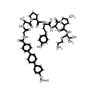 CCCCCOc1ccc(-c2ccc(-c3ccc(C(=O)NCC(=O)NC(CC)C(=O)N4CCCC4C(=O)NC(CCc4ccc(O)cc4)C(=O)NC(CC)C(=O)N4C[C@H](C)CC4C(=O)NC(OCCN)[C@@H](C)O)cc3)cc2)cc1